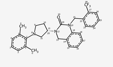 Cc1cccc(C)c1N1CC[C@H](N2Cc3ccccc3N(Cc3ccccc3C(F)(F)F)C2=O)C1